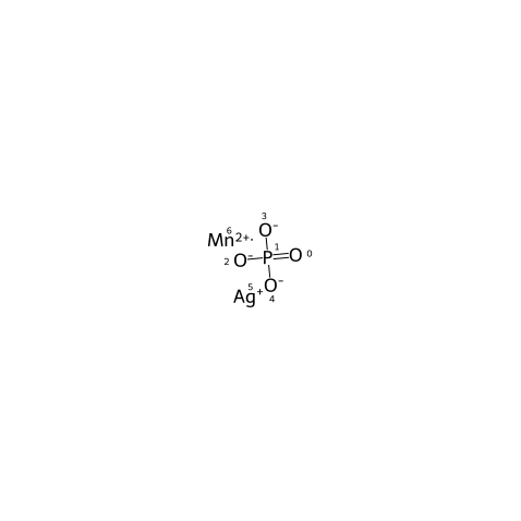 O=P([O-])([O-])[O-].[Ag+].[Mn+2]